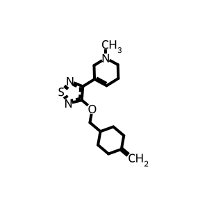 C=C1CCC(COc2nsnc2C2=CCCN(C)C2)CC1